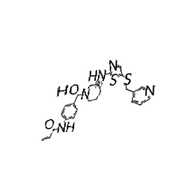 C=CC(=O)Nc1ccc(C(O)N2CCC[C@@H](Nc3ncc(SCc4cccnc4)s3)C2)cc1